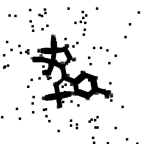 CC(C)(C)[N+]1(C(=O)[O-])[C@@H]([C@@H](CS(C)(=O)=O)c2ccc(C(F)(F)F)cc2)COS1(=O)=O